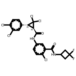 O=C(NC1CC(F)(F)C1)c1cc(NC(=O)[C@H]2[C@H](c3ccc(Cl)c(Cl)c3)C2(Cl)Cl)ccc1Cl